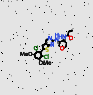 C=CC(=O)N[C@H]1CCOC[C@H]1Nc1ncc2cc(-c3c(Cl)c(OC)cc(OC)c3Cl)sc2n1